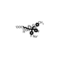 Cc1ccc(NC(=O)c2c(-c3ccc(F)cc3)c(-c3ccc(F)cc3)c(CC[C@@H](O)C[C@@H](O)CC(=O)[O-])n2C(C)C)cc1.[Na+]